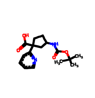 CC(C)(C)OC(=O)NC1CCC(C(=O)O)(c2ccccn2)C1